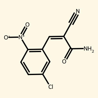 N#CC(=Cc1cc(Cl)ccc1[N+](=O)[O-])C(N)=O